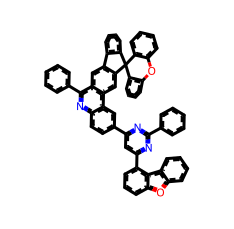 c1ccc(-c2nc(-c3ccc4nc(-c5ccccc5)c5cc6c(cc5c4c3)C3(c4ccccc4Oc4ccccc43)c3ccccc3-6)cc(-c3cccc4oc5ccccc5c34)n2)cc1